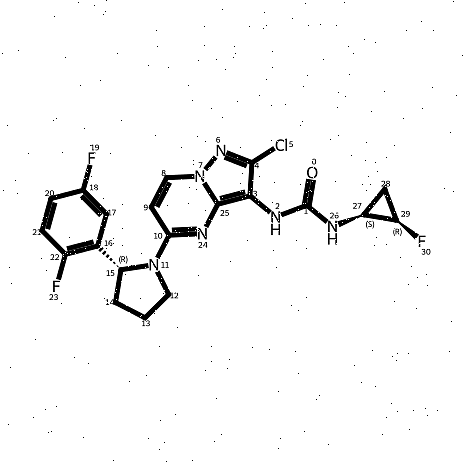 O=C(Nc1c(Cl)nn2ccc(N3CCC[C@@H]3c3cc(F)ccc3F)nc12)N[C@H]1C[C@H]1F